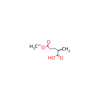 C=C(CCC(=O)OCC)C(=O)O